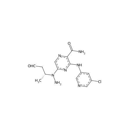 C[C@H](CC=O)N(N)c1cnc(C(N)=O)c(Nc2cncc(Cl)c2)n1